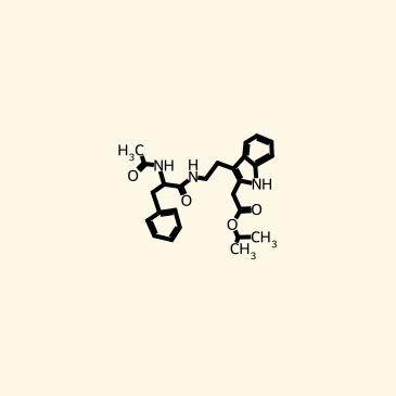 CC(=O)NC(Cc1ccccc1)C(=O)NCCc1c(CC(=O)OC(C)C)[nH]c2ccccc12